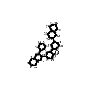 c1ccc(-c2cc3ccccc3cc2-c2ccc3oc4ccc(-c5ccc6ccccc6c5)cc4c3c2)cc1